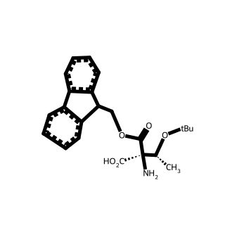 C[C@@H](OC(C)(C)C)[C@](N)(C(=O)O)C(=O)OCC1c2ccccc2-c2ccccc21